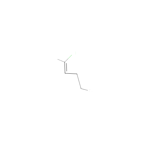 CC(=O)CCC=C(Cl)C(F)(F)F